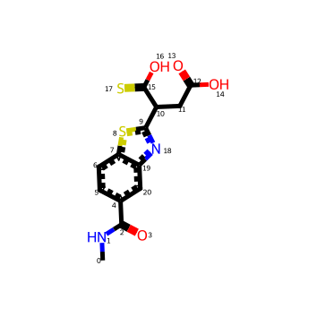 CNC(=O)c1ccc2sc(C(CC(=O)O)C(O)=S)nc2c1